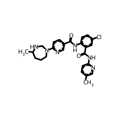 Cc1ccc(NC(=O)c2cc(Cl)ccc2NC(=O)c2ccc(N3CCCC(C)NC3)nc2)nc1